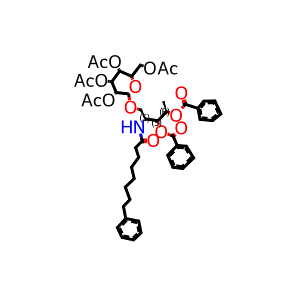 CC(=O)OCC1OC(OC[C@H](NC(=O)CCCCCCCc2ccccc2)[C@H](OC(=O)c2ccccc2)[C@@H](C)OC(=O)c2ccccc2)C(OC(C)=O)C(OC(C)=O)C1OC(C)=O